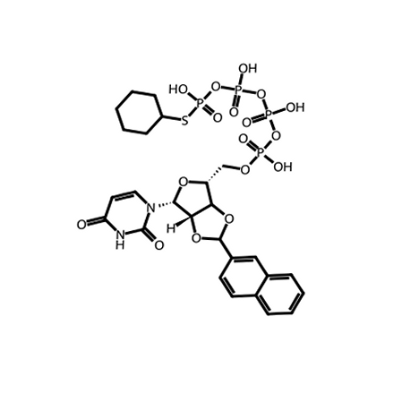 O=c1ccn([C@@H]2O[C@H](COP(=O)(O)OP(=O)(O)OP(=O)(O)OP(=O)(O)SC3CCCCC3)C3OC(c4ccc5ccccc5c4)O[C@@H]32)c(=O)[nH]1